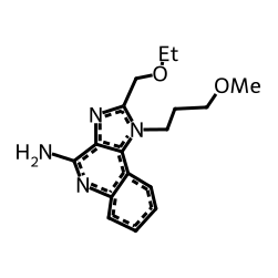 CCOCc1nc2c(N)nc3ccccc3c2n1CCCOC